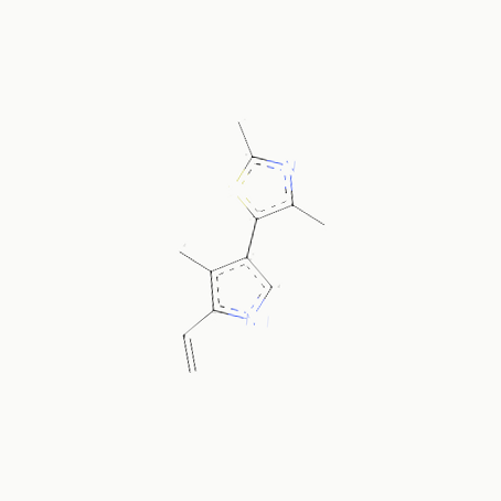 C=Cc1[nH]cc(-c2sc(C)nc2C)c1C